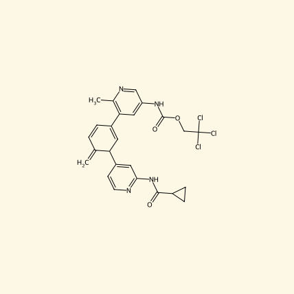 C=C1C=CC(c2cc(NC(=O)OCC(Cl)(Cl)Cl)cnc2C)=CC1c1ccnc(NC(=O)C2CC2)c1